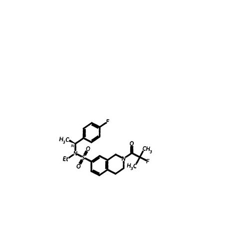 CCN([C@@H](C)c1ccc(F)cc1)S(=O)(=O)c1ccc2c(c1)CN(C(=O)C(C)(C)F)CC2